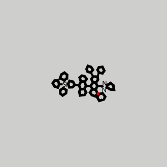 c1ccc(-c2cc3c(-c4c5ccccc5c(-c5ccc([Si](c6ccccc6)(c6ccccc6)c6ccccc6)cc5)c5ccccc45)c4ccccc4c(-c4nc5ccccc5n4-c4ccccc4)c3cc2-c2ccccc2)cc1